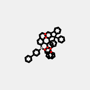 c1ccc(-c2ccc(N(c3ccc4ccccc4c3)c3ccc4ccccc4c3-c3c(-c4cccc5c4C(c4ccccc4)(c4ccccc4)c4ccccc4-5)ccc4c3oc3ccccc34)cc2)cc1